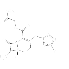 COC(=O)COC(=O)C1=C(Cn2nnc(C)n2)CS[C@@H]2C(N)C(=O)N12